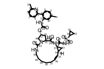 Cc1ccc(-c2cccc(C)n2)c(NC(=O)O[C@@H]2C[C@H]3C(=O)N[C@]4(C(=O)NS(=O)(=O)C5CC5)C[C@H]4/C=C\CCCCCNC(=O)N3C2)c1